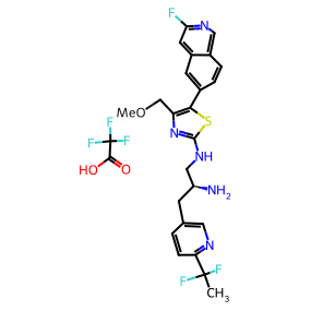 COCc1nc(NC[C@@H](N)Cc2ccc(C(C)(F)F)nc2)sc1-c1ccc2cnc(F)cc2c1.O=C(O)C(F)(F)F